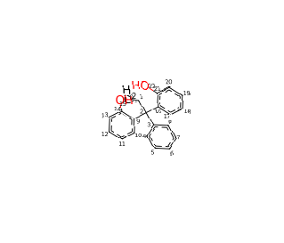 C=CC(c1ccccc1)(c1ccccc1O)c1ccccc1O